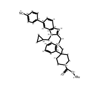 CC(C)(C)OC(=O)N1CCC(COCc2nc3ccc(-c4ccc(C#N)cc4)cc3n2CC2CC2)(c2ccccc2)CC1